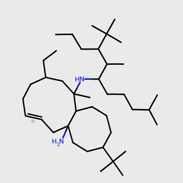 CCCC(C(C)C(CCCC(C)C)NC1(C)CC(CC)CC/C=C/CC2(N)CCC(C(C)(C)C)CCCC21)C(C)(C)C